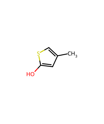 Cc1csc(O)c1